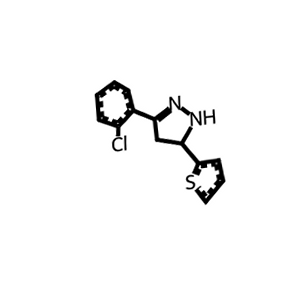 Clc1ccccc1C1=NNC(c2cccs2)C1